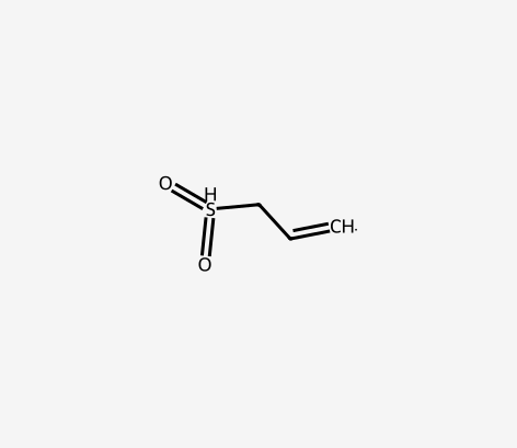 [CH]=CC[SH](=O)=O